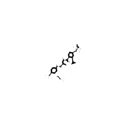 Cc1nc(-c2ccc(-c3ncc(C(=O)Nc4ccc(C#N)c(OCCN(C)C)c4)cn3)c(C3CC3)c2)no1